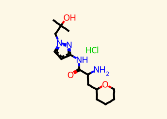 CC(C)(O)Cn1ccc(NC(=O)C(N)CC2CCCCO2)n1.Cl